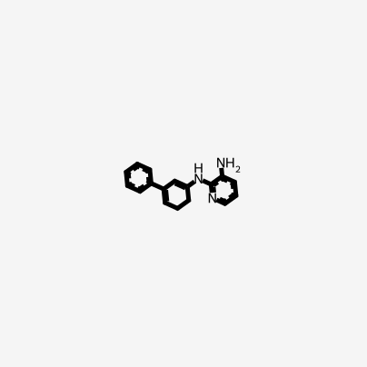 Nc1cccnc1NC1=CC(c2ccccc2)=CCC1